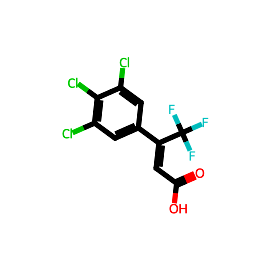 O=C(O)C=C(c1cc(Cl)c(Cl)c(Cl)c1)C(F)(F)F